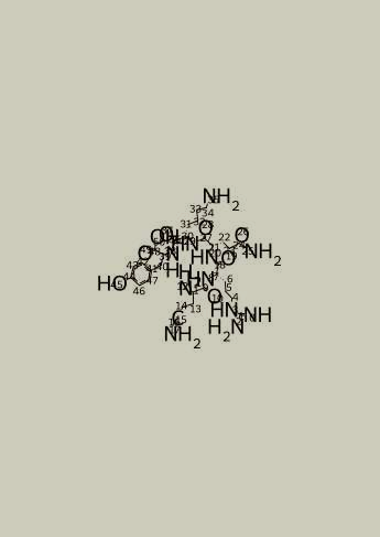 N=C(N)NCCC[C@H](NC(=O)[C@@H](N)CCCCN)C(=O)N[C@@H](CCC(N)=O)C(=O)N[C@@H](CCCCN)C(=O)N[C@@H](Cc1ccc(O)cc1)C(=O)O